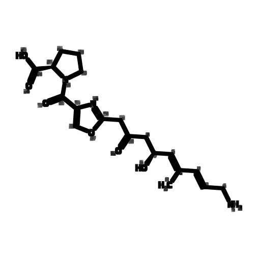 CC(/C=C/CN)=C\[C@@H](O)CC(=O)Cc1nc(C(=O)N2CCC[C@@H]2C(=O)O)co1